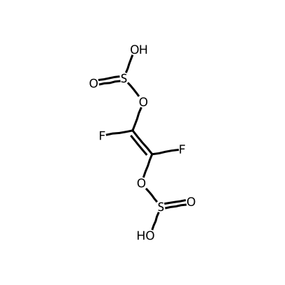 O=S(O)O/C(F)=C(\F)OS(=O)O